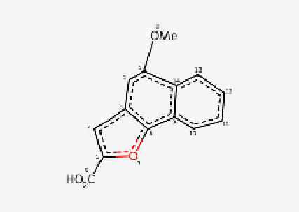 COc1cc2cc(C(=O)O)oc2c2ccccc12